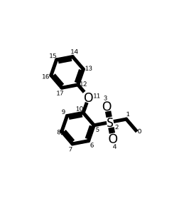 CCS(=O)(=O)c1cc[c]cc1Oc1ccccc1